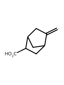 [CH]=C1CC2CC1CC2C(=O)O